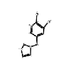 Clc1cc(CN2C=COC2)cnc1Cl